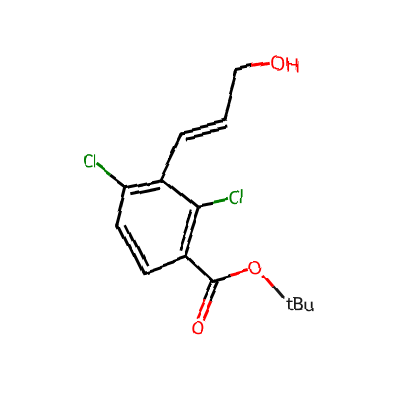 CC(C)(C)OC(=O)c1ccc(Cl)c(C=CCO)c1Cl